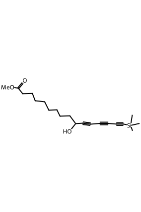 COC(=O)CCCCCCCCC(O)C#CC#CC#C[Si](C)(C)C